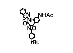 CC(=O)Nc1ccc(-c2oc(-c3ccc(C(C)(C)C)cc3)nc2C(=O)Nc2nc3ccccc3s2)cc1